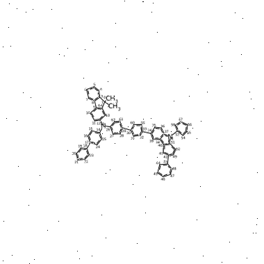 CC1(C)c2ccccc2-c2ccc(N(c3ccc(-c4ccccc4)cc3)c3ccc(-c4ccc(-c5ccc6c(c5)c5cc(-c7ccccc7)ccc5n6-c5ccccc5)cc4)cc3)cc21